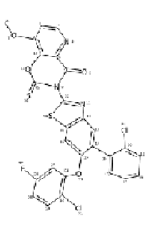 COc1ccnc2c(=O)n(-c3nc4cc(-c5ccccc5Cl)c(Oc5cc(F)ccc5Cl)cc4s3)c(=S)oc12